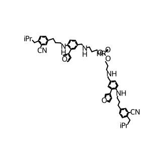 CC(C)Cc1ccc(CCCNc2ccc(CNCCCO[PH](=O)OCCCNCc3ccc(NCCCc4ccc(CC(C)C)c(C#N)c4)c(-c4ccoc4)c3)cc2-c2ccoc2)cc1C#N